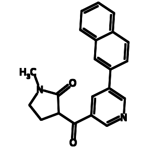 CN1CCC(C(=O)c2cncc(-c3ccc4ccccc4c3)c2)C1=O